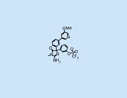 COc1cncc(-c2cccc(C3(c4cccc(OS(=O)(=O)C(F)(F)F)c4)N=C(N)N(C)C3=O)c2)c1